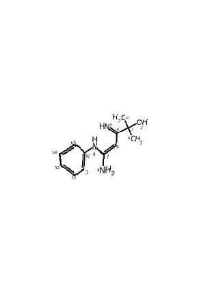 CC(C)(O)C(=N)/C=C(/N)Nc1ccccc1